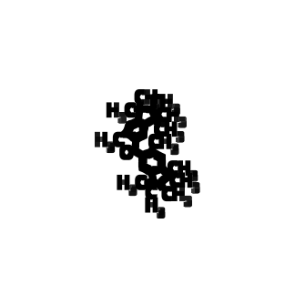 Cc1cc2c(cc1C(=O)c1cc3c(cc1C)C(C)(C)C(C)C3(C)C)C(C)(C)C(C)C2(C)C